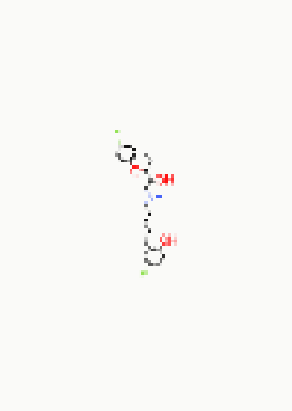 Oc1ccc(F)cc1CCCCCNC[C@@H](O)C1CCc2cc(F)ccc2O1